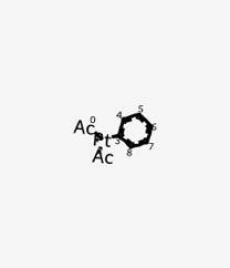 C[C](=O)[Pt]([C](C)=O)[c]1ccccc1